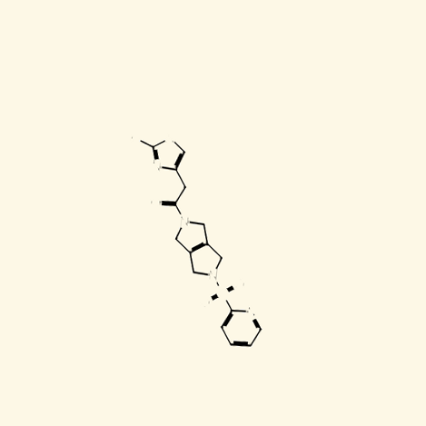 Cc1nc(CC(=O)N2CC3=C(C2)CN(S(=O)(=O)c2ccccn2)C3)cs1